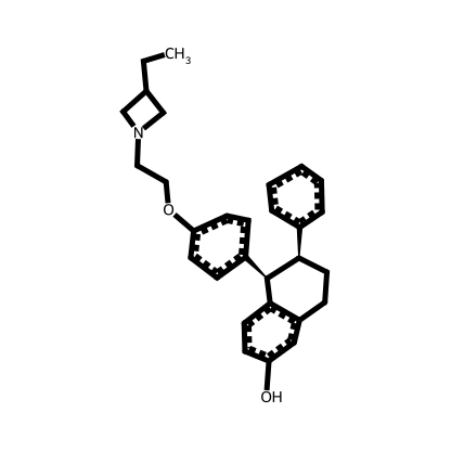 CCC1CN(CCOc2ccc([C@@H]3c4ccc(O)cc4CC[C@@H]3c3ccccc3)cc2)C1